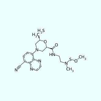 COSN(C)CCNC(=O)[C@H]1CN(c2ccc(C#N)c3nccnc23)C[C@@H](C)O1.S